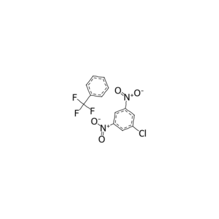 FC(F)(F)c1ccccc1.O=[N+]([O-])c1cc(Cl)cc([N+](=O)[O-])c1